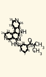 CN(C)C(=O)c1cccc(Nc2nc3[nH]c4cnccc4c3c3ccncc23)c1